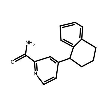 NC(=O)c1cc(C2CCCc3ccccc32)ccn1